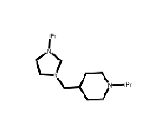 CC(C)N1CCC(CN2CCN(C(C)C)C2)CC1